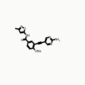 COc1ccc(C(=O)Nc2cc(C)no2)cc1C#Cc1cnc(N)nc1